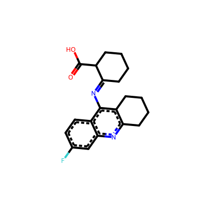 O=C(O)C1CCCCC1=Nc1c2c(nc3cc(F)ccc13)CCCC2